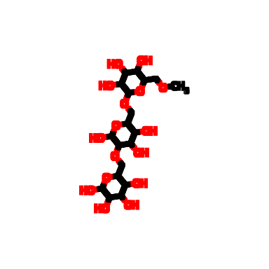 COCC1OC(OCC2OC(O)C(OCC3OC(O)C(O)C(O)C3O)C(O)C2O)C(O)C(O)C1O